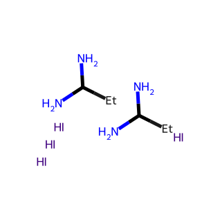 CCC(N)N.CCC(N)N.I.I.I.I